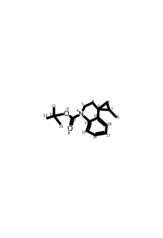 CC1CC12CCN(C(=O)OC(C)(C)C)c1ccccc12